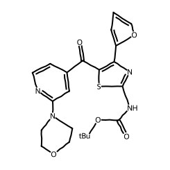 CC(C)(C)OC(=O)Nc1nc(-c2ccco2)c(C(=O)c2ccnc(N3CCOCC3)c2)s1